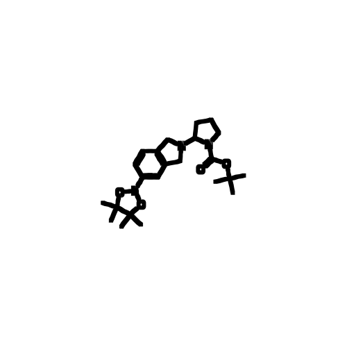 CC(C)(C)OC(=O)N1CCCC1N1Cc2ccc(B3OC(C)(C)C(C)(C)O3)cc2C1